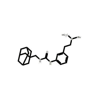 CC(C)(C)N(CCc1cccc(NC(=O)NCC23CC4CC(CC(C4)C2)C3)c1)C(=O)O